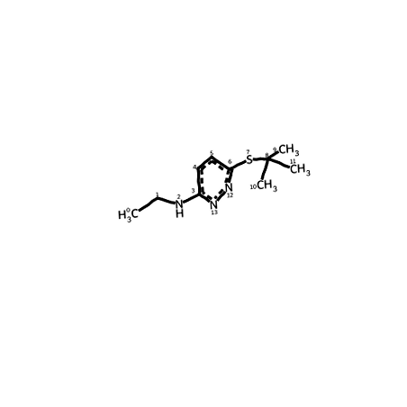 CCNc1ccc(SC(C)(C)C)nn1